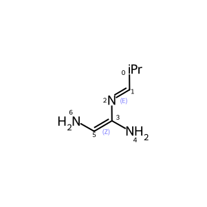 CC(C)/C=N/C(N)=C\N